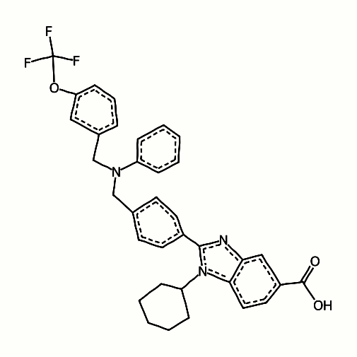 O=C(O)c1ccc2c(c1)nc(-c1ccc(CN(Cc3cccc(OC(F)(F)F)c3)c3ccccc3)cc1)n2C1CCCCC1